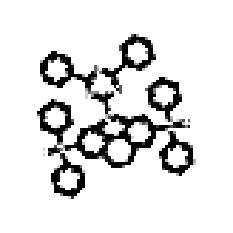 O=P(c1ccccc1)(c1ccccc1)c1cc2c3c4c(cc(P(=O)(c5ccccc5)c5ccccc5)cc4n(-c4nc(-c5ccccc5)nc(-c5ccccc5)n4)c3c1)CC2